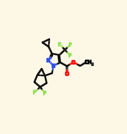 CCOC(=O)c1c(C(F)(F)F)c(C2CC2)nn1CC12CC1CC(F)(F)C2